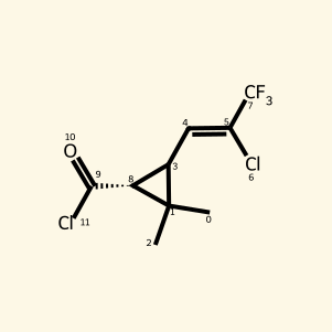 CC1(C)C(C=C(Cl)C(F)(F)F)[C@H]1C(=O)Cl